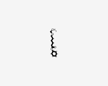 CCOCCCCCC(=O)OC1CCCCC1